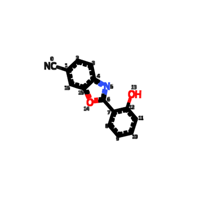 N#Cc1ccc2nc(-c3ccccc3O)oc2c1